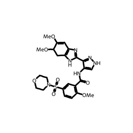 COC1=Cc2nc(-c3n[nH]cc3NC(=O)c3cc(S(=O)(=O)N4CCOCC4)ccc3OC)[nH]c2CC1OC